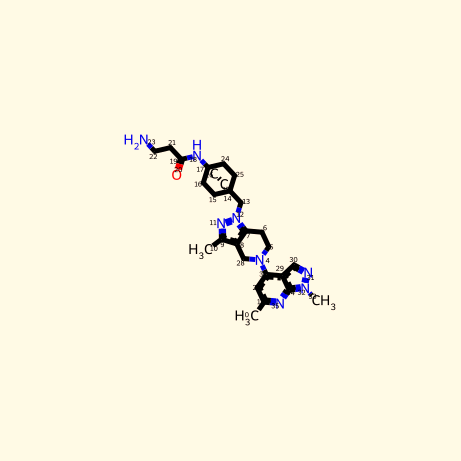 Cc1cc(N2CCc3c(c(C)nn3CC34CCC(NC(=O)CCN)(CC3)CC4)C2)c2cnn(C)c2n1